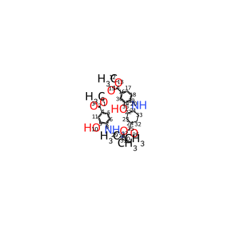 COC(=O)c1ccc(N)c(O)c1.COC(=O)c1ccc(NC2CCC(C(=O)OC(C)(C)C)CC2)c(O)c1